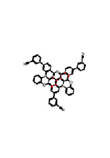 N#Cc1cccc(-c2ccc(-c3nc(-c4ccc(-c5cccc(C#N)c5)cc4N4c5ccccc5Oc5ccccc54)nc(-c4ccc(-c5cccc(C#N)c5)cc4N4c5ccccc5Oc5ccccc54)n3)cc2)c1